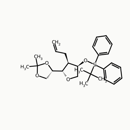 C=CC[C@@H]1[C@@H]([C@@H]2COC(C)(C)O2)OC[C@@H]1O[Si](c1ccccc1)(c1ccccc1)C(C)(C)C